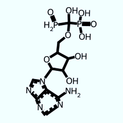 Nc1ncnc2ncn(C3OC(COC(O)([PH2]=O)P(=O)(O)O)C(O)C3O)c12